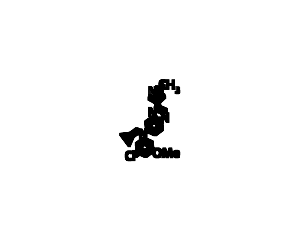 COc1cc(Cl)cc(N(CC2CC2)c2ccc3ncc(-c4cnn(C)c4)nc3c2)c1